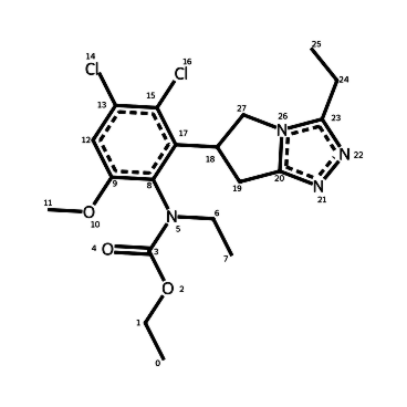 CCOC(=O)N(CC)c1c(OC)cc(Cl)c(Cl)c1C1Cc2nnc(CC)n2C1